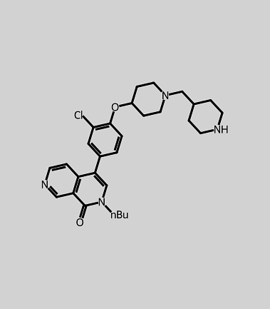 CCCCn1cc(-c2ccc(OC3CCN(CC4CCNCC4)CC3)c(Cl)c2)c2ccncc2c1=O